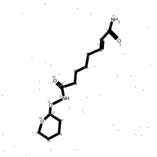 NC(=O)/C=C/CCCCC(=O)NOC1CCCCO1